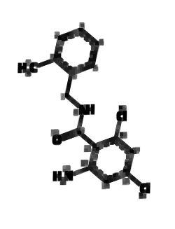 Cc1ccccc1CNC(=O)c1c(N)cc(Cl)cc1Cl